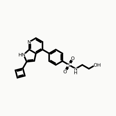 O=S(=O)(NCCO)c1ccc(-c2ccnc3[nH]c(C4=CC=C4)cc23)cc1